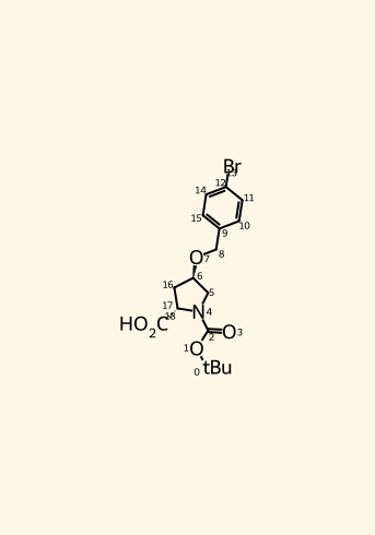 CC(C)(C)OC(=O)N1C[C@H](OCc2ccc(Br)cc2)C[C@H]1C(=O)O